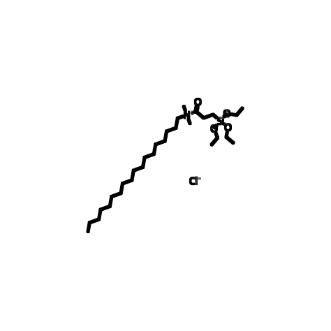 CCCCCCCCCCCCCCCCCC[N+](C)(C)C(=O)CC[Si](OCC)(OCC)OCC.[Cl-]